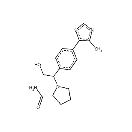 Cc1ncsc1-c1ccc(C(CO)N2CCC[C@@H]2C(N)=O)cc1